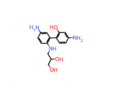 Nc1ccc(-c2cc(N)ccc2NCC(O)CO)c(O)c1